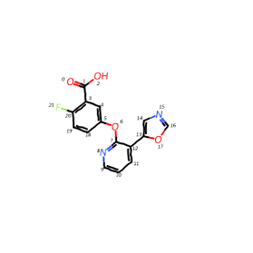 O=C(O)c1cc(Oc2ncccc2-c2cnco2)ccc1F